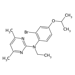 CCN(c1nc(C)cc(C)n1)c1ccc(OC(C)C)cc1Br